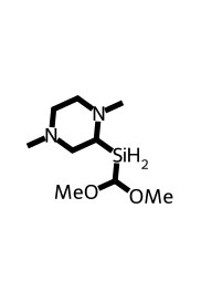 COC(OC)[SiH2]C1CN(C)CCN1C